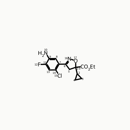 CCOC(=O)C1(C2CC2)CC(c2cc(N)c(F)cc2Cl)=NO1